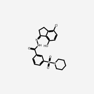 O=C(N/N=C1/CCc2c(Cl)ccc(O)c21)c1cccc(S(=O)(=O)N2CCCCC2)c1